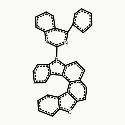 c1ccc(-c2nc(-n3c4ccccc4c4c5c(ccc6oc7ccccc7c65)ccc43)nc3ccccc23)cc1